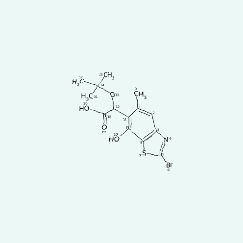 Cc1cc2nc(Br)sc2c(O)c1C(OC(C)(C)C)C(=O)O